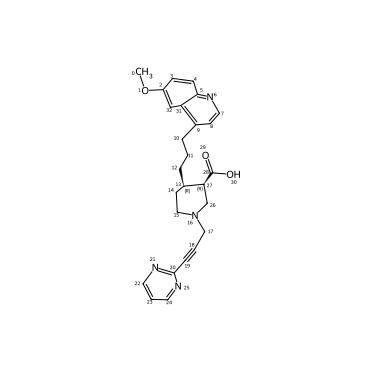 COc1ccc2nccc(CCC[C@@H]3CCN(CC#Cc4ncccn4)C[C@@H]3C(=O)O)c2c1